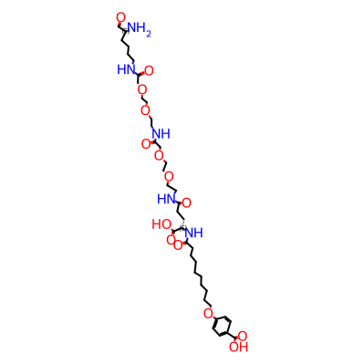 N[C@H](C=O)CCCCNC(=O)COCCOCCNC(=O)COCCOCCNC(=O)CC[C@H](NC(=O)CCCCCCCCCOc1ccc(C(=O)O)cc1)C(=O)O